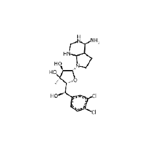 C[C@@]1(O)[C@@H]([C@H](O)c2ccc(Cl)c(Cl)c2)O[C@@H](N2CCC3C(N)NCNC32)[C@@H]1O